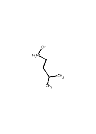 CC(C)CC[NH2+][O-]